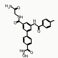 Cc1ccc(C(=O)Nc2cc(C(=O)NCC(N)=O)cc(-c3ccc(C(=O)NO)cc3)c2)cc1